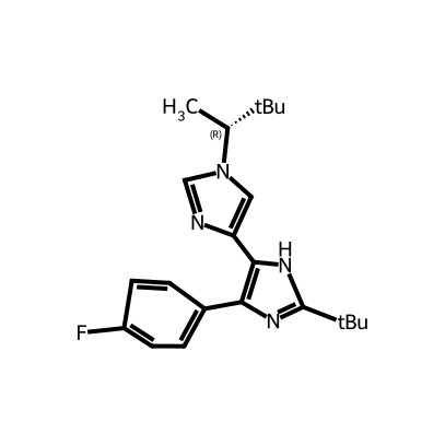 C[C@@H](n1cnc(-c2[nH]c(C(C)(C)C)nc2-c2ccc(F)cc2)c1)C(C)(C)C